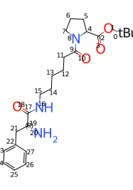 CC(C)(C)OC(=O)C1CCCN1C(=O)CCCCCNC(=O)[C@H](N)Cc1ccccc1